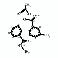 CC(C)=O.Cc1cccc(C(=O)Cl)c1.NNC(=O)c1ccccc1